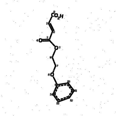 O=C(O)C=CC(=O)OCCOc1ccccc1